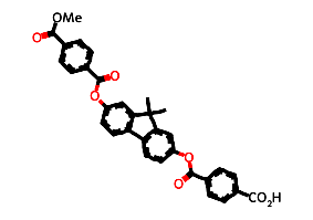 COC(=O)c1ccc(C(=O)Oc2ccc3c(c2)C(C)(C)c2cc(OC(=O)c4ccc(C(=O)O)cc4)ccc2-3)cc1